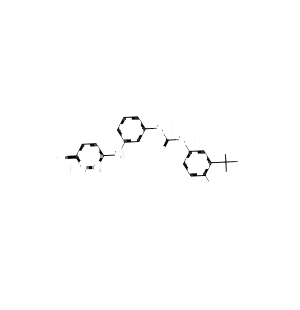 O=C(Nc1cccc(Nc2ccc(=O)[nH]n2)c1)Nc1ccc(Cl)c(C(F)(F)F)c1